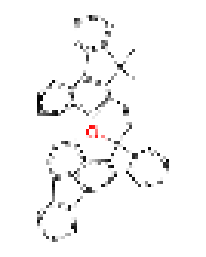 CC1(C)c2ccccc2-c2c1c1c(c3ccccc23)OC(c2ccccc2)(c2ccc3c4c(cccc24)-c2ccccc2-3)C=C1